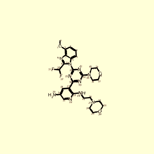 COc1cccc2c1nc(C(F)F)n2-c1nc(-c2cc(N)cnc2NCCN2CCOCC2)nc(N2CCOCC2)n1